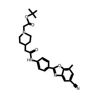 Cc1cc(C#N)cc2nc(-c3ccc(NC(=O)CC4CCN(CC(=O)OC(C)(C)C)CC4)cc3)oc12